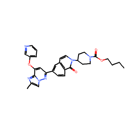 CCCCOC(=O)N1CCC(n2ccc3cc(-c4cc(Oc5cccnc5)c5nc(C)cn5n4)ccc3c2=O)CC1